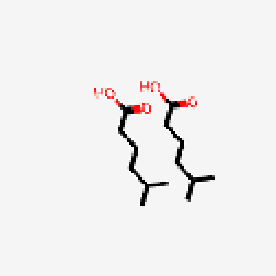 CC(C)CCCC(=O)O.CC(C)CCCC(=O)O